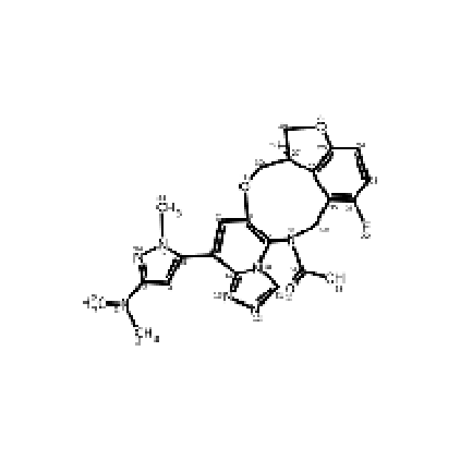 CN(C)c1cc(-c2cc3c(n4cnnc24)N(C(=O)O)Cc2c(F)ccc4c2[C@@H](CO4)CO3)n(C)n1